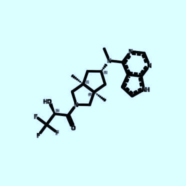 CN(c1ncnc2[nH]ccc12)[C@@H]1C[C@@]2(C)CN(C(=O)[C@H](O)C(F)(F)F)C[C@@]2(C)C1